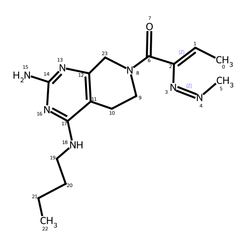 C/C=C(\N=N/C)C(=O)N1CCc2c(nc(N)nc2NCCCC)C1